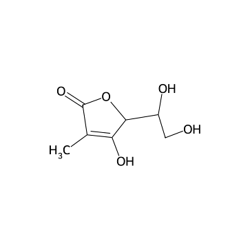 CC1=C(O)C(C(O)CO)OC1=O